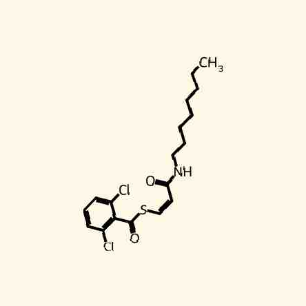 CCCCCCCCNC(=O)/C=C\SC(=O)c1c(Cl)cccc1Cl